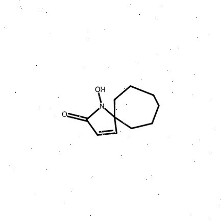 O=C1C=CC2(CCCCCC2)N1O